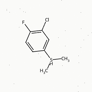 C[SH](C)c1ccc(F)c(Cl)c1